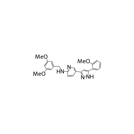 COc1cc(CNc2ccc(-c3cc(-c4ccccc4OC)[nH]n3)cn2)cc(OC)c1